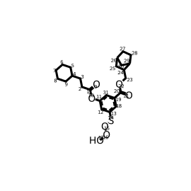 O=C(CCC1CCCCC1)Oc1cc(SOOO)cc(C(=O)OCC2CC3CCC2C3)c1